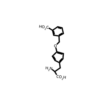 NC(Cc1ccc(OCc2cccc(C(=O)O)c2)cc1)C(=O)O